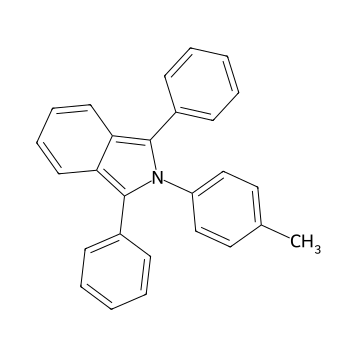 Cc1ccc(-n2c(-c3ccccc3)c3ccccc3c2-c2ccccc2)cc1